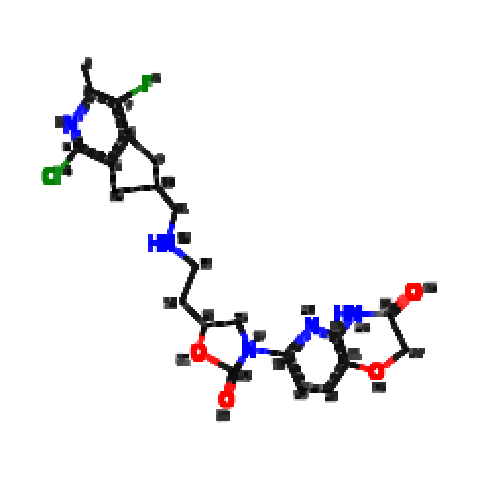 Cc1nc(Cl)c2c(c1F)CC(CNCCC1CN(c3ccc4c(n3)NC(=O)CO4)C(=O)O1)C2